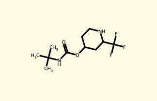 CC(C)(C)NC(=O)OC1CCNC(C(F)(F)F)C1